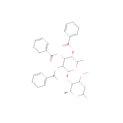 CCCCOC1CC(C)O[C@@H](C)C1O[C@@H]1OC(C)[C@H](OC(=O)c2ccccc2)C(OC(=O)c2ccccc2)C1OC(=O)c1ccccc1